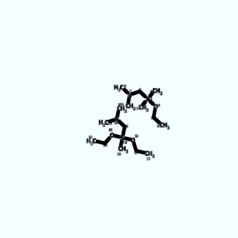 CCO[Si](C)(C)CN(C)C.CCO[Si](C)(CN(C)C)OCC